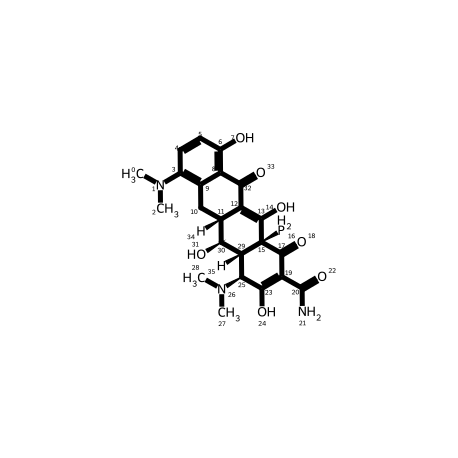 CN(C)c1ccc(O)c2c1C[C@@H]1C(=C(O)[C@]3(P)C(=O)C(C(N)=O)=C(O)[C@@H](N(C)C)[C@@H]3[C@H]1O)C2=O